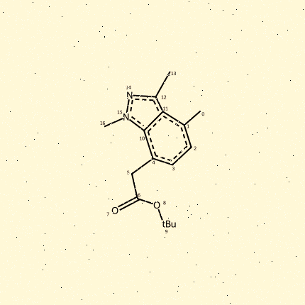 Cc1ccc(CC(=O)OC(C)(C)C)c2c1c(C)nn2C